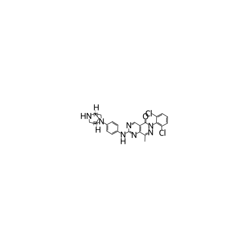 Cc1nn(-c2c(Cl)cccc2Cl)c(=O)c2cnc(Nc3ccc(N4C[C@H]5C[C@@H]4CN5)cc3)nc12